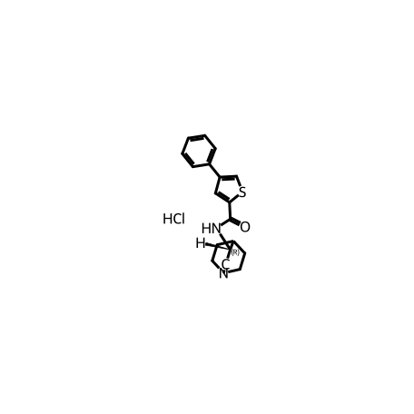 Cl.O=C(N[C@H]1CN2CCC1CC2)c1cc(-c2ccccc2)cs1